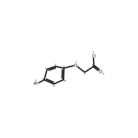 CC(C)c1ccc(OCC(=O)Cl)cc1